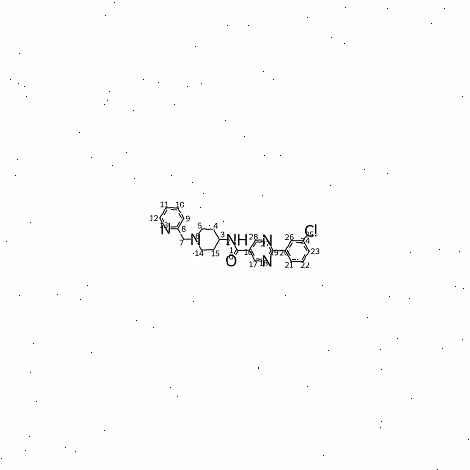 O=C(NC1CCN(Cc2ccccn2)CC1)c1cnc(-c2cccc(Cl)c2)nc1